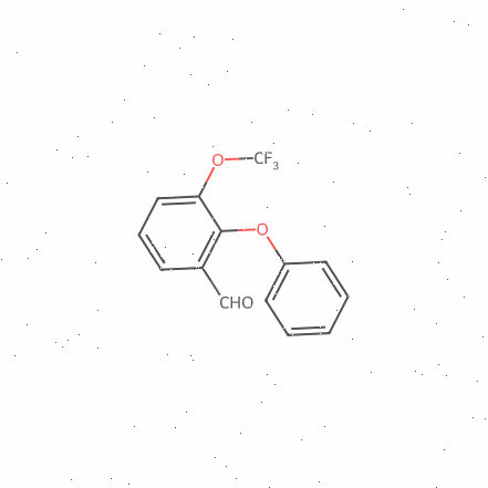 O=Cc1cccc(OC(F)(F)F)c1Oc1ccccc1